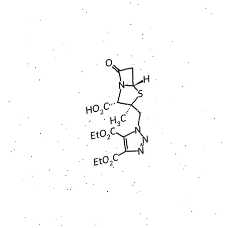 CCOC(=O)c1nnn(C[C@]2(C)S[C@H]3CC(=O)N3[C@H]2C(=O)O)c1C(=O)OCC